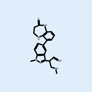 CNCC(C=N)c1nn(C)c2ccc(-c3cccc4c3NCCC(=O)N4)cc12